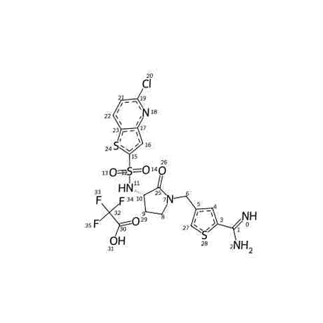 N=C(N)c1cc(CN2CC[C@H](NS(=O)(=O)c3cc4nc(Cl)ccc4s3)C2=O)cs1.O=C(O)C(F)(F)F